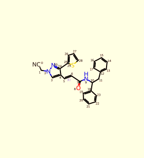 N#CCn1cc(/C=C/C(=O)NC(Cc2ccccc2)c2ccccc2)c(-c2cccs2)n1